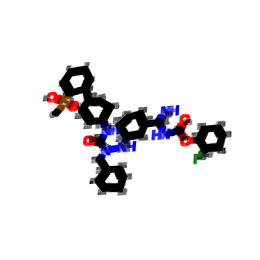 CS(=O)(=O)c1ccccc1-c1ccc(NC(=O)N(Cc2ccccc2)Nc2cccc(C(=N)NC(=O)Oc3ccccc3F)c2)cc1